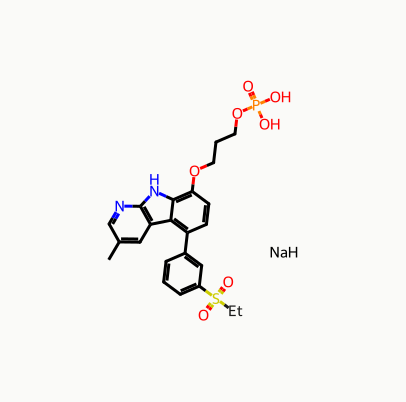 CCS(=O)(=O)c1cccc(-c2ccc(OCCCOP(=O)(O)O)c3[nH]c4ncc(C)cc4c23)c1.[NaH]